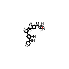 COc1cc(C(=O)N2C[C@@H]3C[C@H]2CN3C)ccc1-c1cc2nccc(-c3ccc(NC4CCOCC4)c(C#N)c3)c2o1